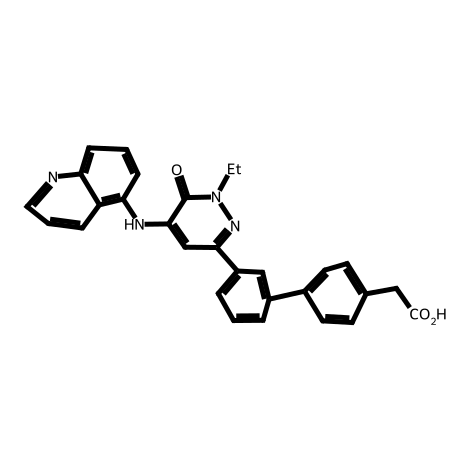 CCn1nc(-c2cccc(-c3ccc(CC(=O)O)cc3)c2)cc(Nc2cccc3ncccc23)c1=O